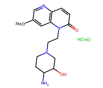 COc1cnc2ccc(=O)n(CCN3CCC(N)C(O)C3)c2c1.Cl.Cl